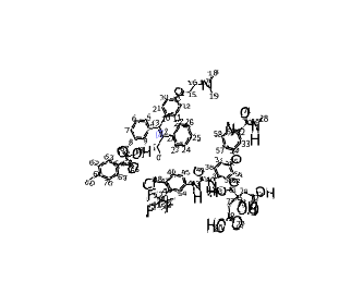 CC/C(=C(\c1ccccc1)c1ccc(OCCN(C)C)cc1)c1ccccc1.CNC(=O)c1cc(Oc2ccc(NC(=O)Nc3ccc(Cl)c(C(F)(F)F)c3)cc2)ccn1.Cc1ccc(S(=O)(=O)O)cc1.O=C(O)CC(O)(CC(=O)O)C(=O)O